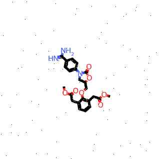 COC(=O)Cc1cccc(CC(=O)OC)c1OCC1CN(c2ccc(C(=N)N)cc2)C(=O)O1